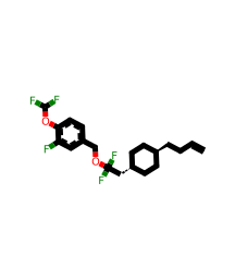 C=CCC[C@H]1CC[C@H](CC(F)(F)OCc2ccc(OC(F)F)c(F)c2)CC1